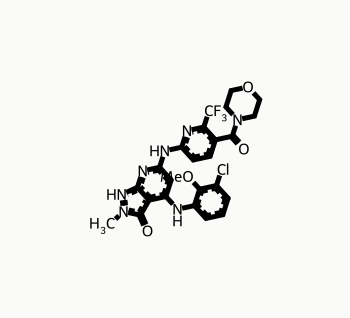 COc1c(Cl)cccc1Nc1cc(Nc2ccc(C(=O)N3CCOCC3)c(C(F)(F)F)n2)nc2[nH]n(C)c(=O)c12